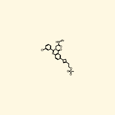 CC(C)NC(=O)Cn1c(-c2cccc(Cl)c2)nc2ccc(C3C=C(CCOS(C)(=O)=O)C3)cc2c1=O